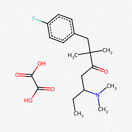 CCC(CC(=O)C(C)(C)Cc1ccc(F)cc1)N(C)C.O=C(O)C(=O)O